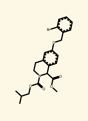 COC(=O)C1c2ccc(OCc3ccccc3Br)cc2CCN1C(=O)OCC(C)C